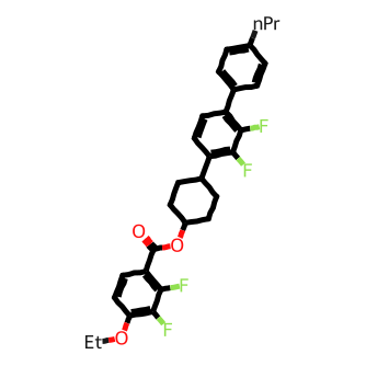 CCCc1ccc(-c2ccc(C3CCC(OC(=O)c4ccc(OCC)c(F)c4F)CC3)c(F)c2F)cc1